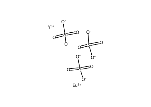 O=S(=O)([O-])[O-].O=S(=O)([O-])[O-].O=S(=O)([O-])[O-].[Eu+3].[Y+3]